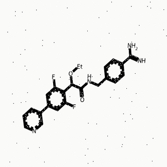 CCOC(C(=O)NCc1ccc(C(=N)N)cc1)c1c(F)cc(-c2cccnc2)cc1F